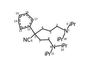 CC(C)N(CCCC(C#N)(CCN(C(C)C)C(C)C)c1ccccc1)C(C)C